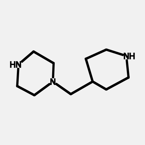 C1CC(CN2CCNCC2)CCN1